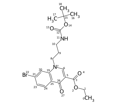 CCOC(=O)c1cn(CCCNC(=O)OC(C)(C)C)c2cc(Br)ccc2c1=O